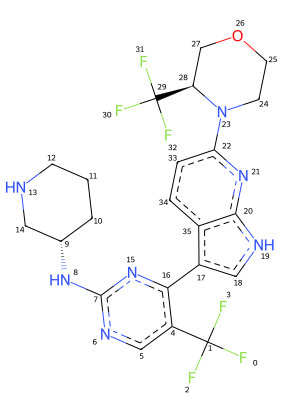 FC(F)(F)c1cnc(N[C@H]2CCCNC2)nc1-c1c[nH]c2nc(N3CCOC[C@@H]3C(F)(F)F)ccc12